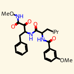 CONC(=O)C(=O)C(Cc1ccccc1)NC(=O)C(CC(C)C)NC(=O)c1cccc(OC)c1